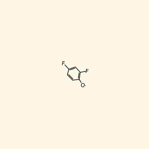 [O]c1ccc(F)cc1F